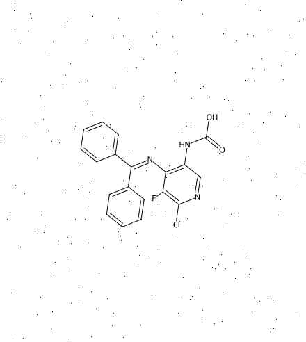 O=C(O)Nc1cnc(Cl)c(F)c1N=C(c1ccccc1)c1ccccc1